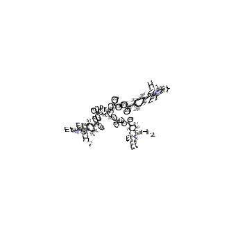 CC/C=C(\CC)[SiH2]c1ccc(C(=O)OOC(=O)OCC(CCC)(COC(=O)OOC(=O)c2ccc([SiH2]/C(=C/CC)CC)cc2)COC(=O)OOC(=O)c2ccc([SiH2]/C(=C/CC)CC)cc2)cc1